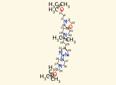 CC(C)(C)OCCCN1CCOC2(CCN(C(C)(C)CCc3cnc(N4CCN(CCOC(C)(C)C)CC4)nc3)CC2)C1